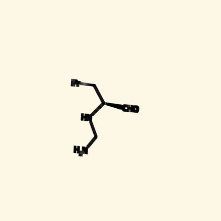 CC(C)C[C@@H](C=O)NCN